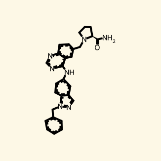 NC(=O)[C@@H]1CCCN1Cc1ccc2ncnc(Nc3ccc4c(cnn4Cc4ccccc4)c3)c2c1